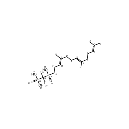 CC(C)=CCCC(C)=CCCC(C)=CCCP(=O)(O)C(F)(F)P(=O)(O)O